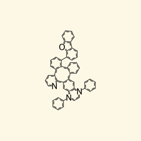 c1ccc(-n2ccn(-c3ccccc3)c3cc4c(cc32)c2ccccc2c2c(-c3cccc5c3oc3ccccc35)cccc2c2cccnc42)cc1